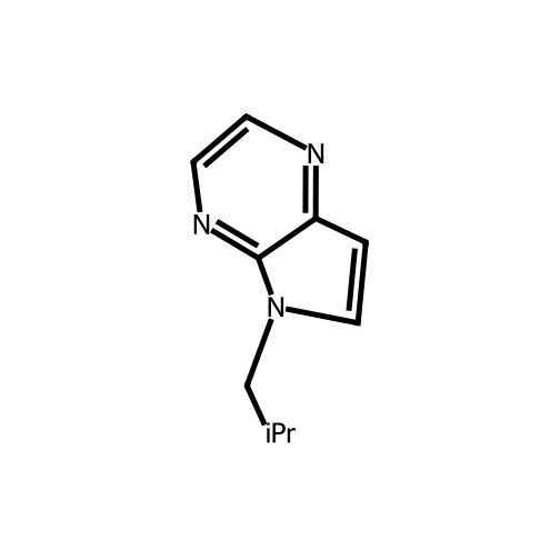 CC(C)Cn1ccc2nccnc21